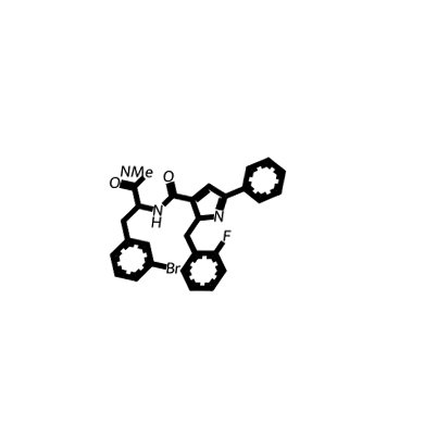 CNC(=O)C(Cc1cccc(Br)c1)NC(=O)C1=CC(c2ccccc2)=NC1Cc1ccccc1F